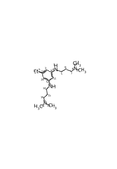 CCc1cc(NCCCN(C)C)cc(NCCCN(C)C)c1